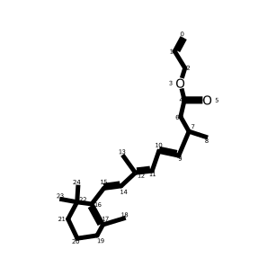 C=CCOC(=O)CC(C)/C=C/C=C(C)/C=C/C1=C(C)CCCC1(C)C